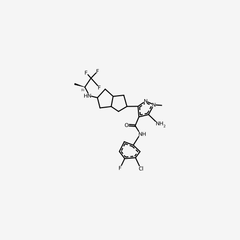 C[C@H](NC1CC2CC(c3nn(C)c(N)c3C(=O)Nc3ccc(F)c(Cl)c3)CC2C1)C(F)(F)F